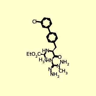 CCOC(=O)[C@H](C)N[C@@H](Cc1ccc(-c2cccc(Cl)c2)cc1)C(=O)N/C(=N/N)N(C)N